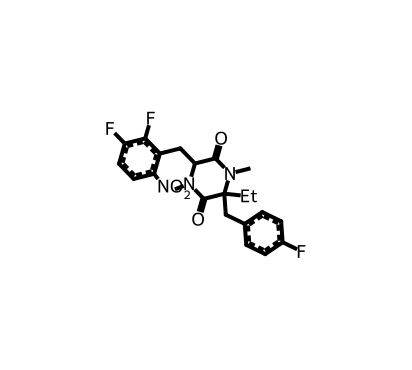 CCC1(Cc2ccc(F)cc2)C(=O)N(C)C(Cc2c([N+](=O)[O-])ccc(F)c2F)C(=O)N1C